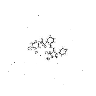 Cn1nc(-c2ccncc2)c(CSc2ccccc2C(=O)Nc2ccc(Cl)c(Cl)c2)c1Cl